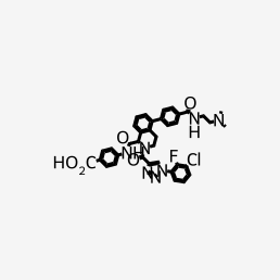 CN(C)CCNC(=O)c1ccc(-c2cccc3c2CCN(C(=O)c2cn(-c4cccc(Cl)c4F)nn2)C3C(=O)Nc2ccc(C(=O)O)cc2)cc1